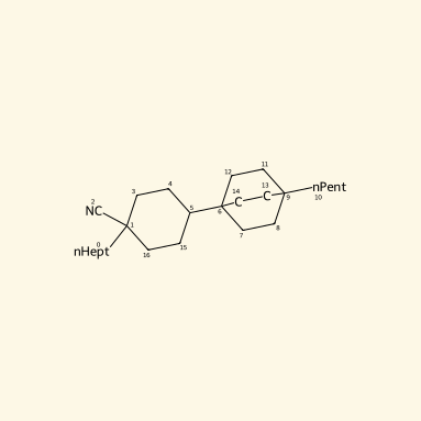 CCCCCCCC1(C#N)CCC(C23CCC(CCCCC)(CC2)CC3)CC1